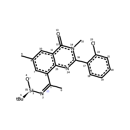 C/C(=N/[S@+]([O-])C(C)(C)C)c1cc(C)cc2c(=O)n(C)c(-c3ccccc3Cl)nc12